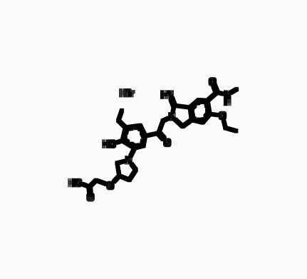 Br.CCOc1cc2c(cc1C(=O)NC)C(=N)N(CC(=O)c1cc(CC)c(O)c(N3CCC(OCC(=O)O)C3)c1)C2